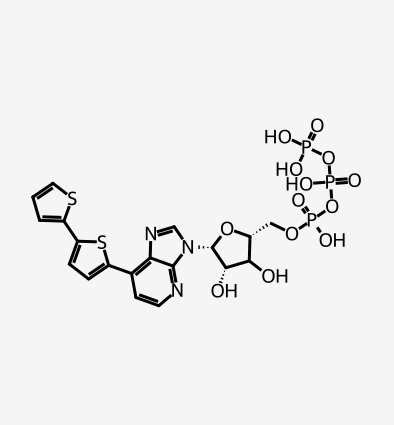 O=P(O)(O)OP(=O)(O)OP(=O)(O)OC[C@H]1O[C@@H](n2cnc3c(-c4ccc(-c5cccs5)s4)ccnc32)[C@@H](O)C1O